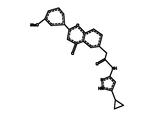 COc1cccc(-c2cc(=O)c3cc(CC(=O)Nc4cc(C5CC5)[nH]n4)ccc3o2)c1